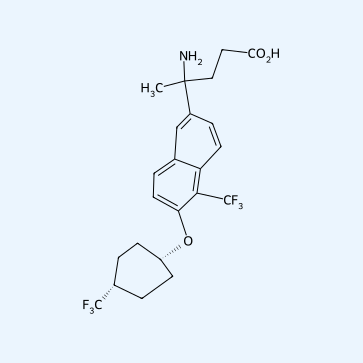 CC(N)(CCC(=O)O)c1ccc2c(C(F)(F)F)c(O[C@H]3CC[C@@H](C(F)(F)F)CC3)ccc2c1